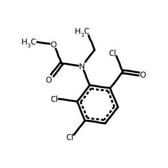 CCN(C(=O)OC)c1c(C(=O)Cl)ccc(Cl)c1Cl